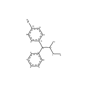 CCC(C)C(c1ccccc1)c1ccc(F)cc1